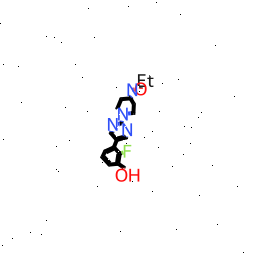 CCON=C1CCN(c2ncc(-c3cccc(CO)c3F)cn2)CC1